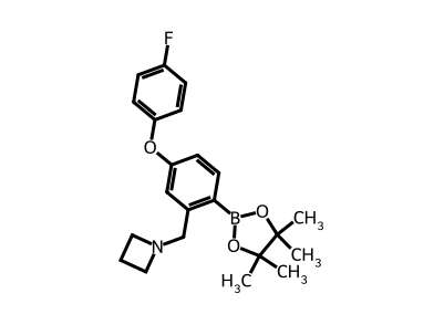 CC1(C)OB(c2ccc(Oc3ccc(F)cc3)cc2CN2CCC2)OC1(C)C